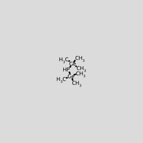 [CH3][Ge]([CH3])([CH3])[PH][Ge]([CH3])([CH3])[CH3]